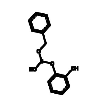 OB(OCc1ccccc1)Oc1ccccc1O